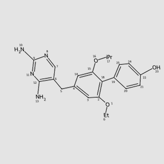 CCOc1cc(Cc2cnc(N)nc2N)cc(OC(C)C)c1-c1ccc(O)cc1